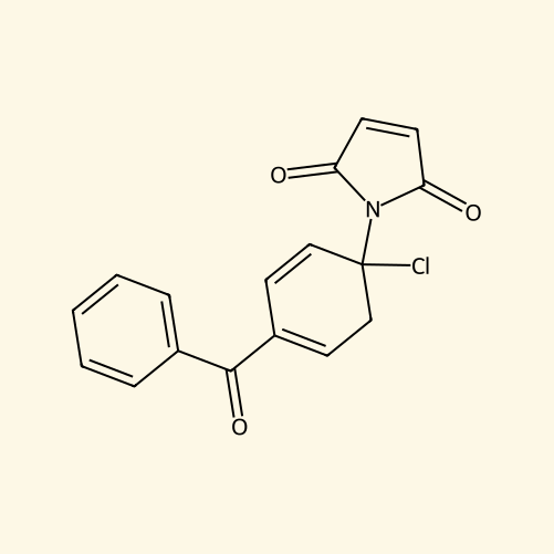 O=C(C1=CCC(Cl)(N2C(=O)C=CC2=O)C=C1)c1ccccc1